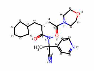 CC(C#N)(NC(=O)[C@@H](CC(=O)N1CCOCC1)CC1CCCCC1)c1ccncc1